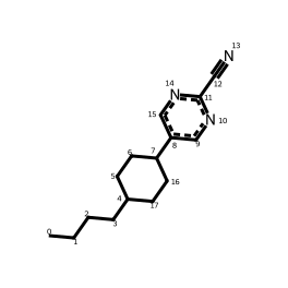 CCCCC1CCC(c2cnc(C#N)nc2)CC1